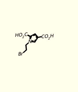 O=C(O)c1cc(C(=O)O)n(CCBr)c1